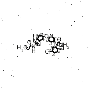 COC(=O)Nc1nc2cc(Oc3ccc(N(C(N)=O)c4cc(Cl)ccc4Cl)cn3)ccc2[nH]1